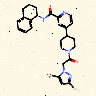 O=C(N[C@@H]1CCCc2ccccc21)c1cc(C2CCN(C(=O)Cn3nc(C(F)(F)F)cc3C(F)(F)F)CC2)ccn1